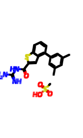 CS(=O)(=O)O.Cc1cc(C)cc(-c2cccc3sc(C(=O)NC(=N)N)cc23)c1